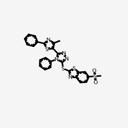 Cc1nc(-c2ccccc2)sc1-c1nnc(Sc2nc3ccc(S(C)(=O)=O)cc3s2)n1-c1ccccc1